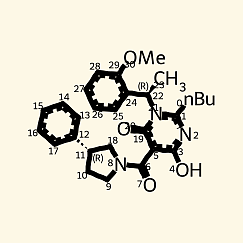 CCCCc1nc(O)c(C(=O)N2CC[C@H](c3ccccc3)C2)c(=O)n1[C@H](C)c1ccccc1OC